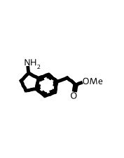 COC(=O)Cc1ccc2c(c1)C(N)CC2